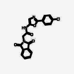 O=C(CN1C(=O)c2ccccc2C1=O)Nc1cnc(-c2ccc(Cl)cc2)o1